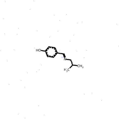 CC(C)C/N=C/c1ccc(O)cc1